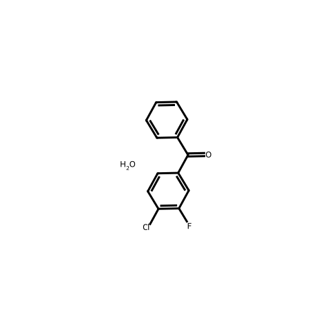 O.O=C(c1ccccc1)c1ccc(Cl)c(F)c1